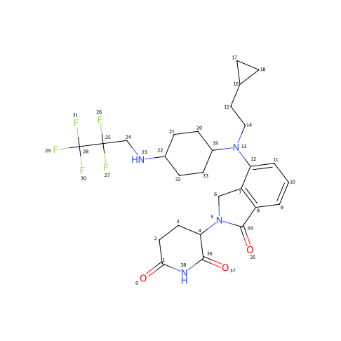 O=C1CCC(N2Cc3c(cccc3N(CCC3CC3)C3CCC(NCC(F)(F)C(F)(F)F)CC3)C2=O)C(=O)N1